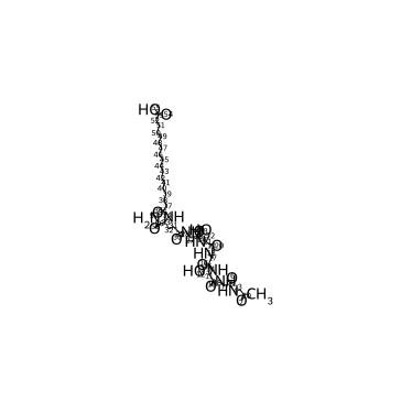 CC(=O)CNC(=O)CNC(=O)[C@H](CO)NC(=O)CNC(=O)[C@H](CO)NC(=O)CNC(=O)CC[C@H](NC(=O)CCCCCCCCCCCCCCCCC(=O)O)C(N)=O